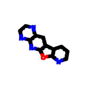 c1cnc2oc3nc4nccnc4cc3c2c1